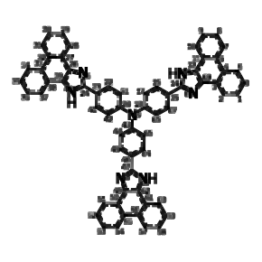 c1ccc2c(c1)c1ccccc1c1[nH]c(-c3ccc(N(c4ccc(-c5nc6c7ccccc7c7ccccc7c6[nH]5)cc4)c4ccc(-c5nc6c7ccccc7c7ccccc7c6[nH]5)cc4)cc3)nc21